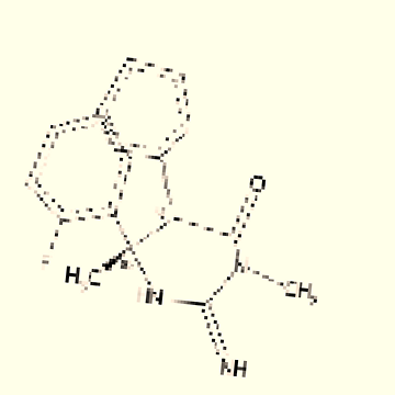 CN1C(=N)N[C@](C)(c2ccccc2F)[C@H](c2ccccc2)C1=O